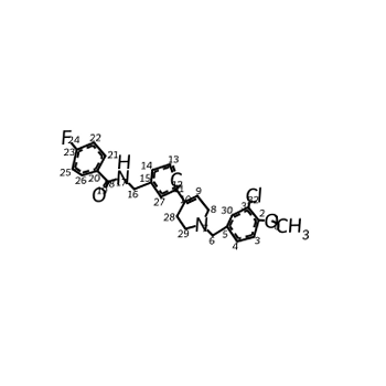 COc1ccc(CN2CC=C(c3cccc(CNC(=O)c4ccc(F)cc4)c3)CC2)cc1Cl